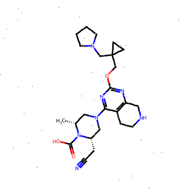 C[C@@H]1CN(c2nc(OCC3(CN4CCCC4)CC3)nc3c2CCNC3)C[C@H](CC#N)N1C(=O)O